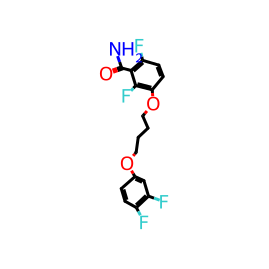 NC(=O)c1c(F)ccc(OCCCCOc2ccc(F)c(F)c2)c1F